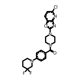 O=C(c1ccc(N2CCCC(F)(F)C2)cc1)N1CCN(c2nc3nc(Cl)ccc3o2)CC1